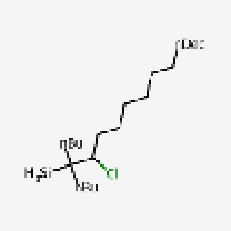 CCCCCCCCCCCCCCCCC(Cl)C([SiH3])(CCCC)CCCC